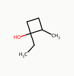 CCC1(O)CCC1C